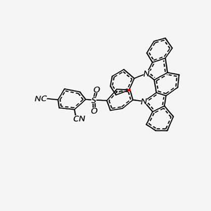 N#Cc1ccc(S(=O)(=O)c2ccc(-n3c4ccccc4c4ccc5c6ccccc6n(-c6ccccc6)c5c43)cc2)c(C#N)c1